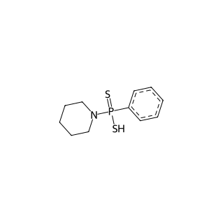 S=P(S)(c1ccccc1)N1CCCCC1